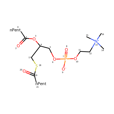 CCCCCC(=O)OC(COP(=O)([O-])OCC[N+](C)(C)C)CSC(=O)CCCCC